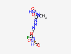 Cn1nc(-n2ccc(=O)[nH]c2=O)c2ccc(N3CCN(CCN4CCC(COc5cc(F)c6c(=O)[nH]c(CSC7CCOCC7)nc6c5)CC4)CC3)cc21